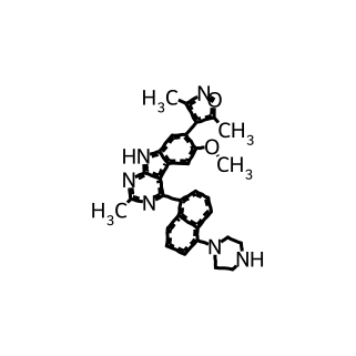 COc1cc2c(cc1-c1c(C)noc1C)[nH]c1nc(C)nc(-c3cccc4c(N5CCNCC5)cccc34)c12